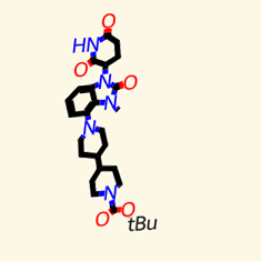 Cn1c(=O)n(C2CCC(=O)NC2=O)c2cccc(N3CCC(C4CCN(C(=O)OC(C)(C)C)CC4)CC3)c21